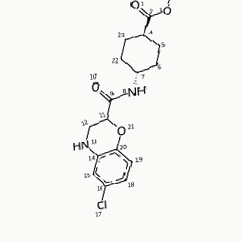 COC(=O)[C@H]1CC[C@H](NC(=O)C2CNc3cc(Cl)ccc3O2)CC1